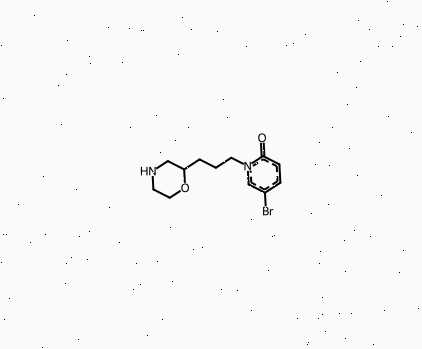 O=c1ccc(Br)cn1CCCC1CNCCO1